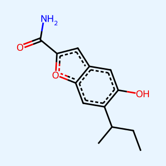 CCC(C)c1cc2oc(C(N)=O)cc2cc1O